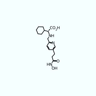 O=C(CCc1ccc(CN[C@H](C(=O)O)C2CCCCC2)nc1)NO